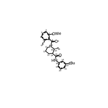 COc1cccc(F)c1C(=O)N1CCCC(C(=O)Nc2cccc(C(C)(C)C)c2)[C@@H]1C